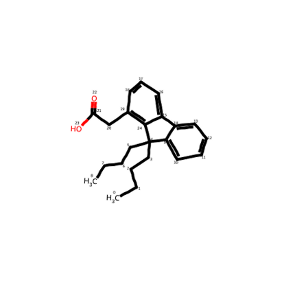 CCCCC1(CCCC)c2ccccc2-c2cccc(CC(=O)O)c21